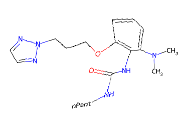 CCCCCNC(=O)Nc1c(OCCCn2nccn2)cccc1N(C)C